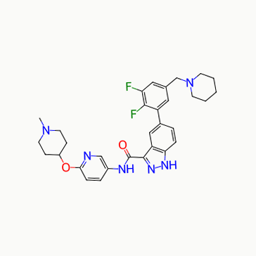 CN1CCC(Oc2ccc(NC(=O)c3n[nH]c4ccc(-c5cc(CN6CCCCC6)cc(F)c5F)cc34)cn2)CC1